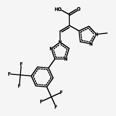 Cn1cc(/C(=C\n2cnc(-c3cc(C(F)(F)F)cc(C(F)(F)F)c3)n2)C(=O)O)cn1